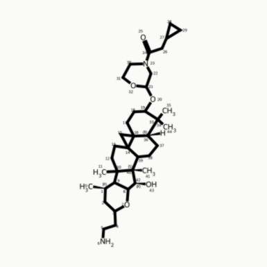 C[C@@H]1CC(CCN)OC2C1C1(C)CCC34CC35CCC(OC3CN(C(=O)CC6CC6)CCO3)C(C)(C)[C@@H]5CCC4[C@]1(C)[C@H]2O